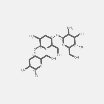 NC1C[C@H](O[C@@H]2OC(CO)[C@@H](O)C(O)C2N)C(CO)O[C@H]1O[C@H]1CC(N)[C@H](O)OC1CO